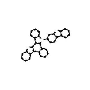 c1ccc2c(c1)oc1cc(-n3c4ccccc4c4c5oc6ccccc6c5c5ccccc5c43)ccc12